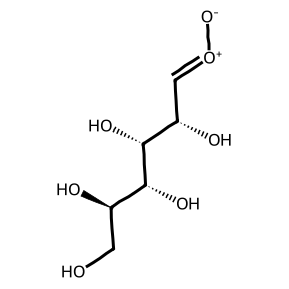 [O-][O+]=C[C@H](O)[C@@H](O)[C@H](O)[C@H](O)CO